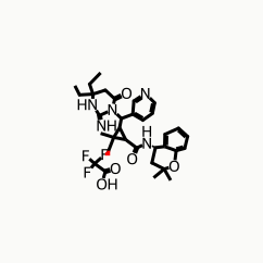 CCC1(CC)CC(=O)N(C(c2cccnc2)C2C(C(=O)N[C@H]3CC(C)(C)Oc4ccccc43)C2(C)C)C(=N)N1.O=C(O)C(F)(F)F